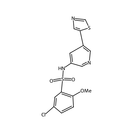 COc1ccc(Cl)cc1S(=O)(=O)Nc1cncc(-c2cncs2)c1